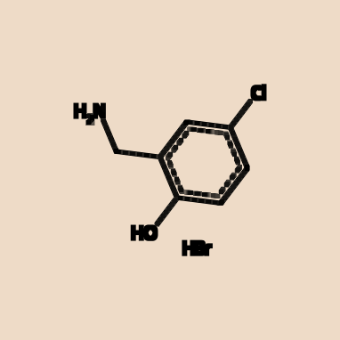 Br.NCc1cc(Cl)ccc1O